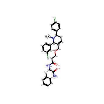 CN1C(c2ccc(Cl)cc2)CC=C(COCCC(=O)N[C@@H](Cc2ccccc2)C(N)=O)C1c1cccc(Cl)c1